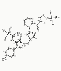 O=C(c1ncccc1-n1cnc(Cn2nc(-c3ccc(Cl)cc3)n(C[C@H](O)C(F)(F)F)c2=O)n1)N1CCC(C(F)(F)F)C1